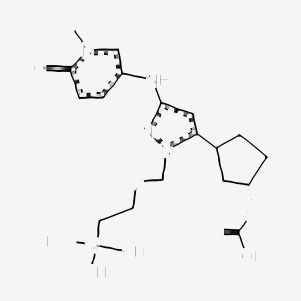 Cn1cc(Nc2cc(C3CC[C@H](OC(=O)O)C3)n(COCC[Si](C)(C)C)n2)ccc1=O